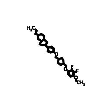 CCCC1CCC2CC(c3ccc(OCC4CCC(COc5ccc(OCC)c(F)c5F)CC4)cc3)CCC2C1